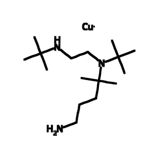 CC(C)(C)NCCN(C(C)(C)C)C(C)(C)CCCN.[Cu]